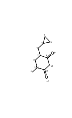 CN1CC(CC2CC2)C(=O)CC1=O